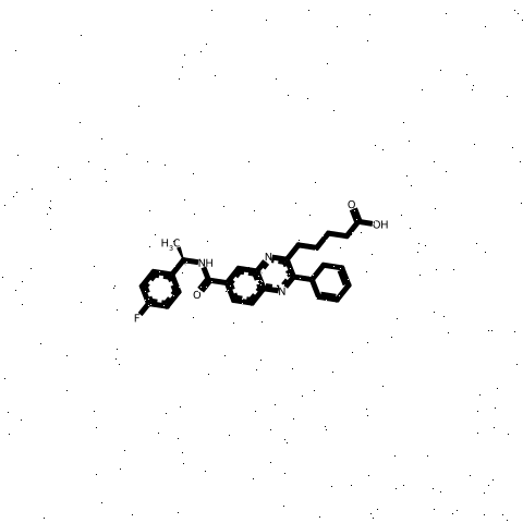 C[C@@H](NC(=O)c1ccc2nc(C3C=CC=CC3)c(CCCCC(=O)O)nc2c1)c1ccc(F)cc1